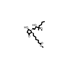 CCCCC(C)(OC)[C@H](O)/C=C/[C@H]1[C@H](O)CC(=O)[C@@H]1CCCCCCC(=O)OC